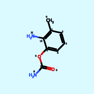 Cc1cccc(OC(N)=O)c1N